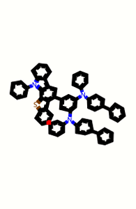 c1ccc(-c2ccc(N(c3ccccc3)c3cc(-c4cc5c6ccccc6n(-c6ccccc6)c5c5sc6ccccc6c45)cc(N(c4ccccc4)c4ccc(-c5ccccc5)cc4)c3)cc2)cc1